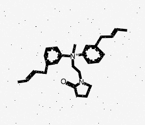 CC=CCc1cccc([N+](C)(CCN2CCCC2=O)c2cccc(CC=CC)c2)c1